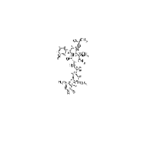 CC(=O)O[C@@H]1C[C@@H](c2cccc(F)c2)N(C(=O)CNC(=O)c2ccc(Cc3cc(C)n[nH]c3=O)c(C)c2)C1C(C)C